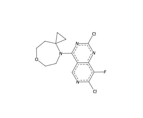 Fc1c(Cl)ncc2c(N3CCOCCC34CC4)nc(Cl)nc12